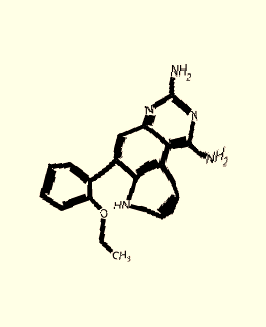 CCOc1ccccc1-c1cc2nc(N)nc(N)c2c2cc[nH]c12